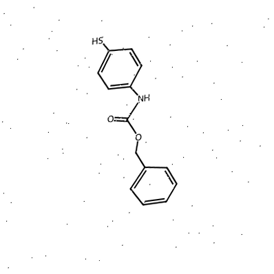 O=C(Nc1ccc(S)cc1)OCc1ccccc1